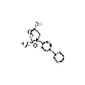 CS(=O)(=O)N(CC(=O)O)c1ccc(-c2ccccc2)cc1